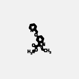 CCn1nc2ccc(OCc3ccccn3)cc2c1C(=O)OC